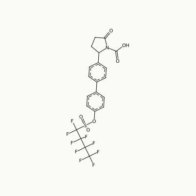 O=C(O)N1C(=O)CCC1c1ccc(-c2ccc(OS(=O)(=O)C(F)(F)C(F)(F)C(F)(F)C(F)(F)F)cc2)cc1